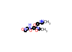 Cc1ccc(-c2ccc(Oc3cc(C(=O)NC4CCN5C(=O)CCC5C4)ccc3CN3C[C@@H](C)CC3=O)cc2)nn1